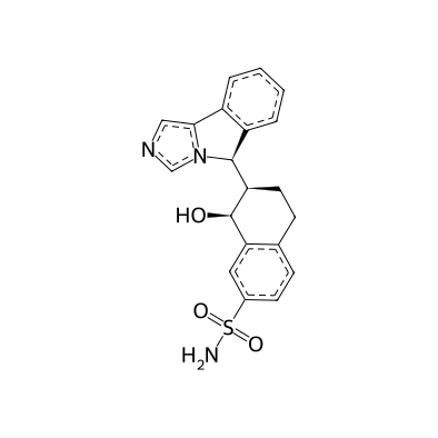 NS(=O)(=O)c1ccc2c(c1)[C@@H](O)[C@@H]([C@@H]1c3ccccc3-c3cncn31)CC2